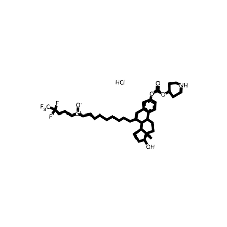 CC12CCC3c4ccc(OC(=O)OC5CCNCC5)cc4CC(CCCCCCCCC[S+]([O-])CCCC(F)(F)C(F)(F)F)C3C1CCC2O.Cl